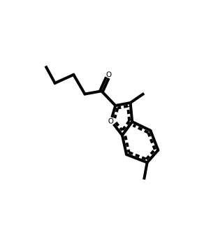 CCCCC(=O)c1oc2cc(C)ccc2c1C